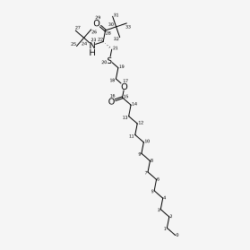 CCCCCCCCCCCCCCCC(=O)OCCSC[C@H](NC(C)(C)C)C(=O)C(C)(C)C